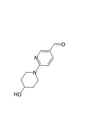 O=Cc1ccc(N2CCC(O)CC2)nc1